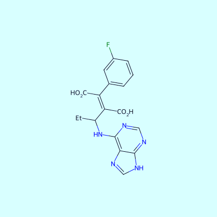 CCC(Nc1ncnc2[nH]cnc12)/C(C(=O)O)=C(\C(=O)O)c1cccc(F)c1